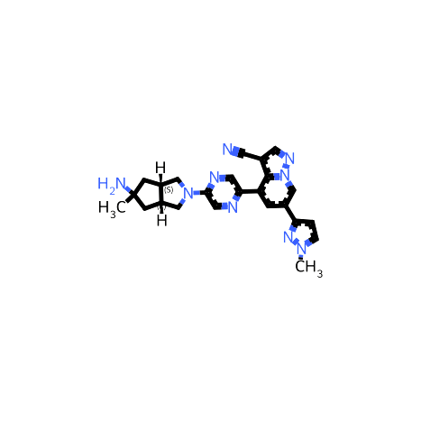 Cn1ccc(-c2cc(-c3cnc(N4C[C@@H]5CC(C)(N)C[C@@H]5C4)cn3)c3c(C#N)cnn3c2)n1